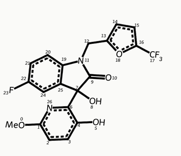 COc1ccc(O)c(C2(O)C(=O)N(Cc3ccc(C(F)(F)F)o3)c3ccc(F)cc32)n1